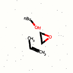 C1CO1.C=CC.CCCCO